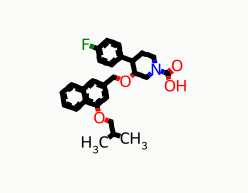 CC(C)COc1cc(COC2CN(C(=O)O)CCC2c2ccc(F)cc2)cc2ccccc12